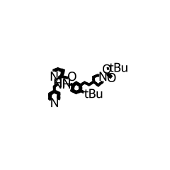 CC(C)(C)OC(=O)N1CCC(CCc2cc(NC(=O)c3cccnc3NCc3ccncc3)ccc2C(C)(C)C)CC1